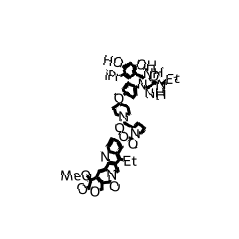 CCNC(=O)C(=N)N(C(=N)c1cc(C(C)C)c(O)cc1O)c1ccc(OC2CCN(C(=O)C3CCCN3C(=O)Oc3ccc4nc5c(c(CC)c4c3)Cn3c-5cc4c(c3=O)COC(=O)C4OC)CC2)cc1